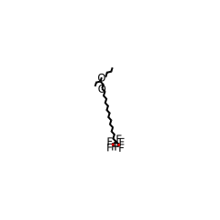 CCCCOC(CC)COCCCCCCCCCCCCCCC(F)(C(F)(F)F)C(F)(F)F